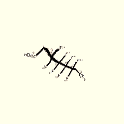 [CH2]CCCCCCCCCCC(F)(F)C(F)(F)C(F)(F)C(F)(F)C(F)(F)F